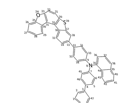 c1ccc(-c2ccc(N(c3ccc(-c4ccc5c(c4)sc4ccc6oc7ccccc7c6c45)cc3)c3cccc4ccccc34)cc2)cc1